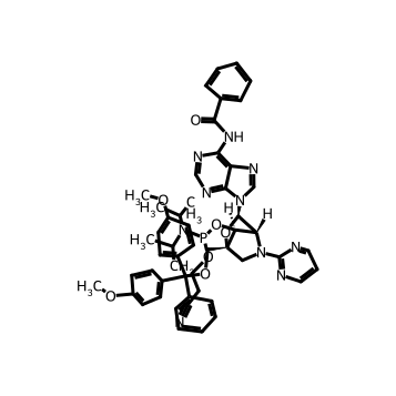 COc1ccc(C(OC[C@@]23CN(c4ncccn4)[C@@H]([C@H](n4cnc5c(NC(=O)c6ccccc6)ncnc54)O2)[C@@H]3OP(OCCC#N)N(C(C)C)C(C)C)(c2ccccc2)c2ccc(OC)cc2)cc1